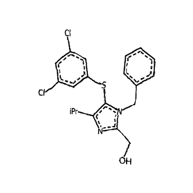 CC(C)c1nc(CO)n(Cc2ccccc2)c1Sc1cc(Cl)cc(Cl)c1